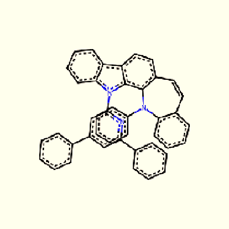 C1=Cc2ccc3c4ccccc4n(-c4cc(-c5ccccc5)cc(-c5ccccc5)n4)c3c2N(c2ccccc2)c2ccccc21